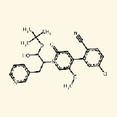 COc1cn(C(Cc2cccnc2)C(O)OC(C)(C)C)c(=O)cc1-c1cc(Cl)ccc1C#N